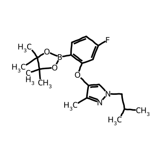 Cc1nn(CC(C)C)cc1Oc1cc(F)ccc1B1OC(C)(C)C(C)(C)O1